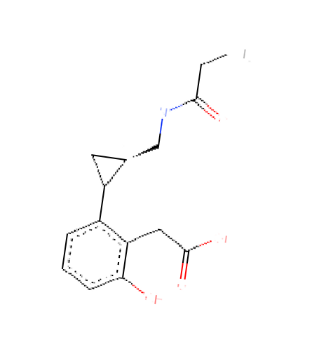 CCC(=O)NC[C@@H]1CC1c1cccc(O)c1CC(=O)O